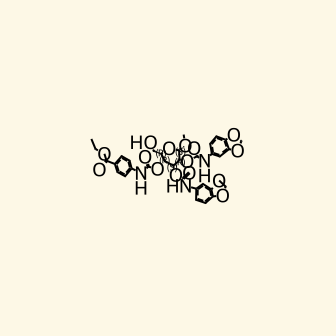 CCOC(=O)c1ccc(NC(=O)O[C@H]2[C@H](OC(=O)Nc3ccc4c(c3)OCO4)[C@@H](OC(=O)Nc3ccc4c(c3)OCO4)[C@@H](OC)O[C@@H]2CO)cc1